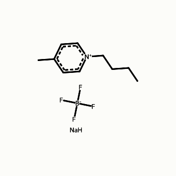 CCCC[n+]1ccc(C)cc1.F[B-](F)(F)F.[NaH]